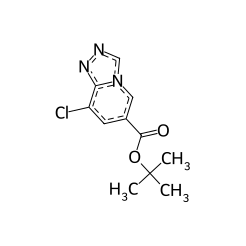 CC(C)(C)OC(=O)c1cc(Cl)c2nncn2c1